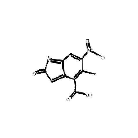 O=C1C=c2c(C(=O)O)c(F)c([N+](=O)[O-])cc2=N1